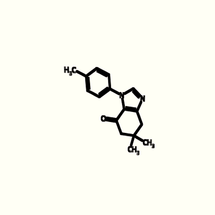 Cc1ccc(-n2cnc3c2C(=O)CC(C)(C)C3)cc1